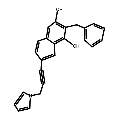 Oc1cc2ccc(C#CCn3cccc3)cc2c(O)c1Cc1ccccc1